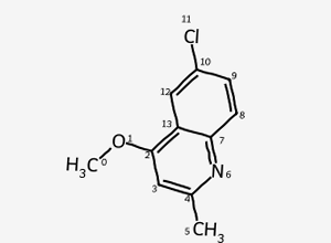 COc1cc(C)nc2ccc(Cl)cc12